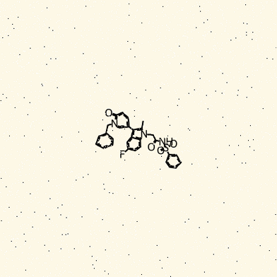 Cc1c(-c2ccc(=O)n(Cc3ccccc3)c2)c2cc(F)ccc2n1CC(=O)NS(=O)(=O)c1ccccc1